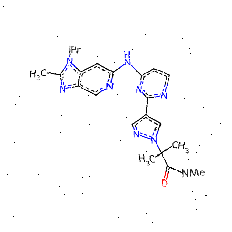 CNC(=O)C(C)(C)n1cc(-c2nccc(Nc3cc4c(cn3)nc(C)n4C(C)C)n2)cn1